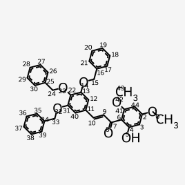 COc1cc(O)c(C(=O)/C=C/c2cc(OCc3ccccc3)c(OCc3ccccc3)c(OCc3ccccc3)c2)c(OC)c1